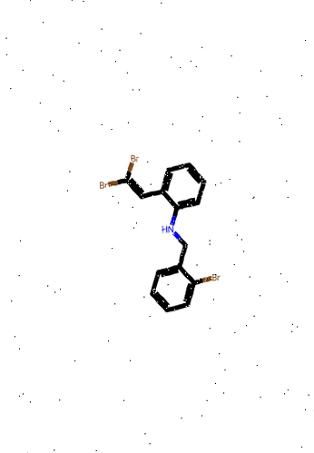 BrC(Br)=Cc1ccccc1NCc1ccccc1Br